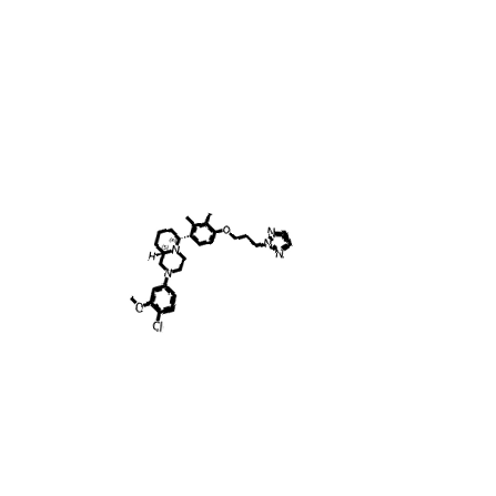 COc1cc(N2CCN3[C@@H](CCC[C@@H]3c3ccc(OCCCn4nccn4)c(C)c3C)C2)ccc1Cl